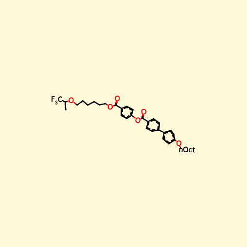 CCCCCCCCOc1ccc(-c2ccc(C(=O)Oc3ccc(C(=O)OCCCCCCOC(C)C(F)(F)F)cc3)cc2)cc1